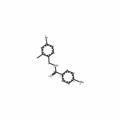 Cc1cc(Br)ccc1CNC(=O)c1ccc(C(C)(C)C)cc1